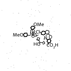 COc1ccc(CN(Cc2ccc(OC)cc2)S(=O)(=O)CC(C)(C)[C@H]2C=C([C@H](O)[C@@H]3CC[C@H]3CN3C[C@@]4(CCCc5cc(Cl)ccc54)COc4ccc(C(=O)O)cc43)C2)cc1